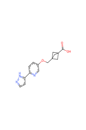 O=C(O)C12CC(COc3ccc(-c4ccn[nH]4)nc3)(C1)C2